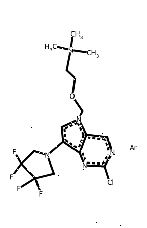 C[Si](C)(C)CCOCn1cc(N2CC(F)(F)C(F)(F)C2)c2nc(Cl)ncc21.[Ar]